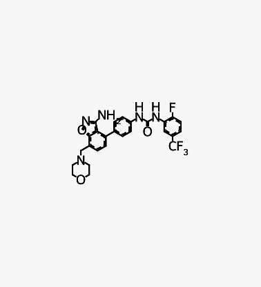 Nc1noc2c(CN3CCOCC3)ccc(-c3ccc(NC(=O)Nc4cc(C(F)(F)F)ccc4F)cc3)c12